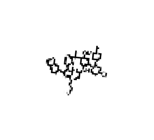 C=CC(=O)Nc1cc(Nc2nccc(-c3[nH]c(CCCO)nc3-c3ccc4ccoc4c3)n2)c(OC)cc1N1CCC(CC)CC1N1CCNCC1